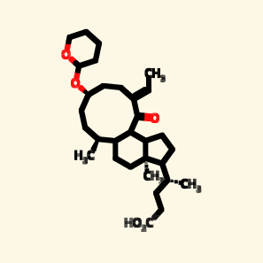 C/C=C1\CC[C@H](OC2CCCCO2)CC[C@H](C)C2CC[C@@]3(C)C(CCC3[C@H](C)CCC(=O)O)C2C1=O